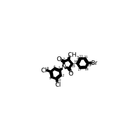 CC1C(=O)N(c2cc(Cl)cc(Cl)c2)C(=O)[C@H]1c1ccc(Br)cc1